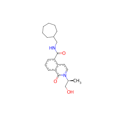 C[C@@H](CO)n1ccc2c(C(=O)NCC3CCCCCC3)cccc2c1=O